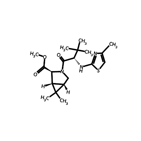 COC(=O)[C@@H]1[C@@H]2[C@H](CN1C(=O)[C@@H](Nc1nc(C)cs1)C(C)(C)C)C2(C)C